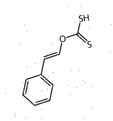 S=C(S)OC=Cc1ccccc1